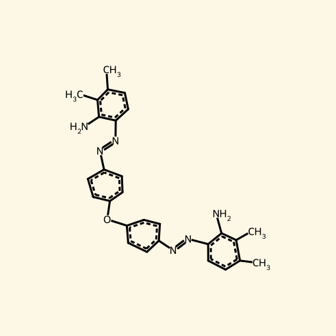 Cc1ccc(N=Nc2ccc(Oc3ccc(N=Nc4ccc(C)c(C)c4N)cc3)cc2)c(N)c1C